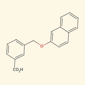 O=C(O)c1cccc(COc2ccc3ccccc3c2)c1